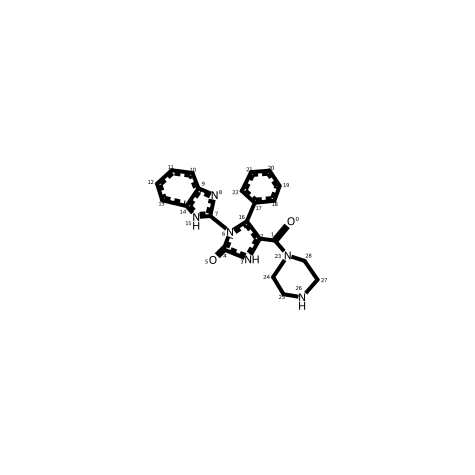 O=C(c1[nH]c(=O)n(-c2nc3ccccc3[nH]2)c1-c1ccccc1)N1CCNCC1